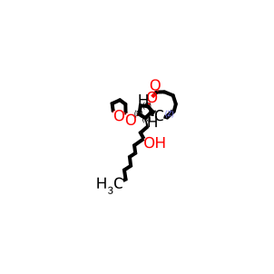 CCCCCCCC(O)CC[C@@H]1[C@H]2C/C=C\CCCC(=O)O[C@H]2C[C@H]1OC1CCCCO1